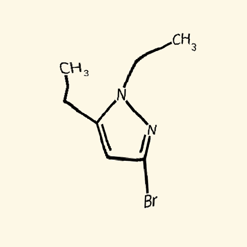 CCc1cc(Br)nn1CC